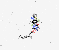 CC(=O)NC(C)COc1cnc(Oc2c(F)cc3nc(C(C)C)sc3c2F)cn1